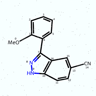 COc1ccccc1-c1n[nH]c2ccc(C#N)cc12